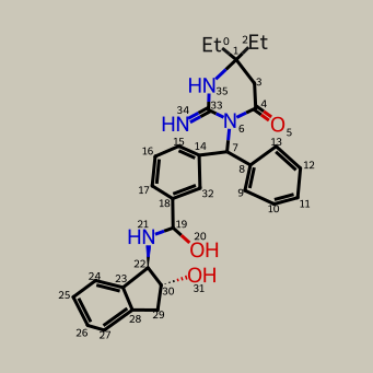 CCC1(CC)CC(=O)N(C(c2ccccc2)c2cccc(C(O)N[C@@H]3c4ccccc4C[C@H]3O)c2)C(=N)N1